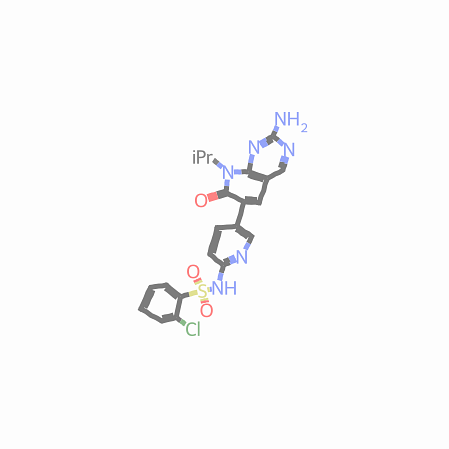 CC(C)n1c(=O)c(-c2ccc(NS(=O)(=O)c3ccccc3Cl)nc2)cc2cnc(N)nc21